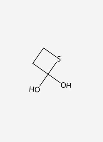 OC1(O)CCS1